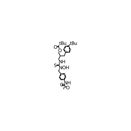 CC(C)(C)C(=O)OCC(CNC(=S)N(O)Cc1ccc(NS(C)(=O)=O)cc1)Cc1ccc(C(C)(C)C)cc1